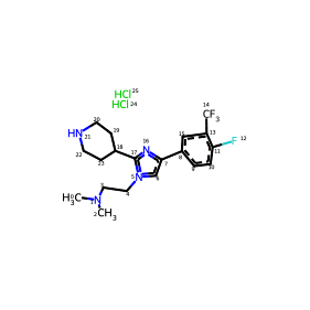 CN(C)CCn1cc(-c2ccc(F)c(C(F)(F)F)c2)nc1C1CCNCC1.Cl.Cl